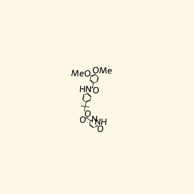 COc1ccc(C(=O)Nc2ccc(C(C)(C)COC(=O)c3ccc(=O)[nH]n3)cc2)cc1OC